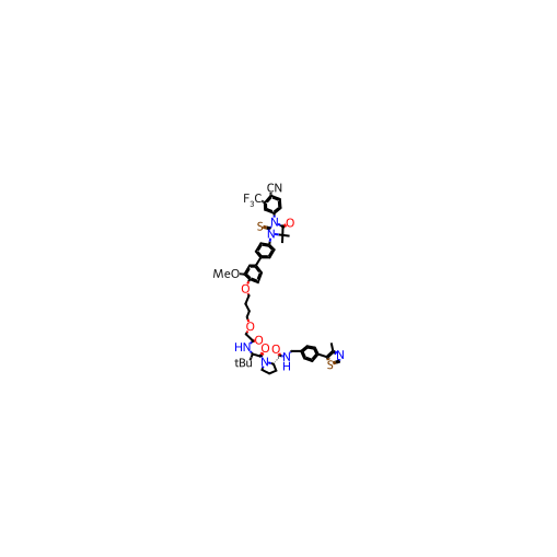 COc1cc(-c2ccc(N3C(=S)N(c4ccc(C#N)c(C(F)(F)F)c4)C(=O)C3(C)C)cc2)ccc1OCCCCOCC(=O)NC(C(=O)N1CCC[C@H]1C(=O)NCc1ccc(-c2scnc2C)cc1)C(C)(C)C